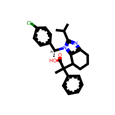 CC(C)c1nc2c(n1[C@H](C)c1ccc(Cl)cc1)C(C(C)(C(=O)O)c1ccccc1)CCC2